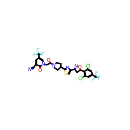 N#Cc1cc(C(F)(F)F)cn(CC(=O)N2CCC(c3nc(C4=NOC(c5c(Cl)cc(C(F)(F)F)cc5Cl)C4)cs3)CC2)c1=O